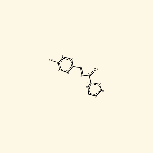 O=C(/C=C/c1ccc(F)cc1)c1ccccc1